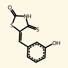 O=C1NC(=S)/C(=C\c2cccc(O)c2)S1